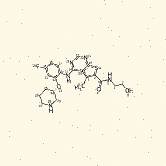 Cc1c(C(=O)NCCO)sc2ncnc(Nc3ccc(F)cc3O[C@H]3CCCNC3)c12